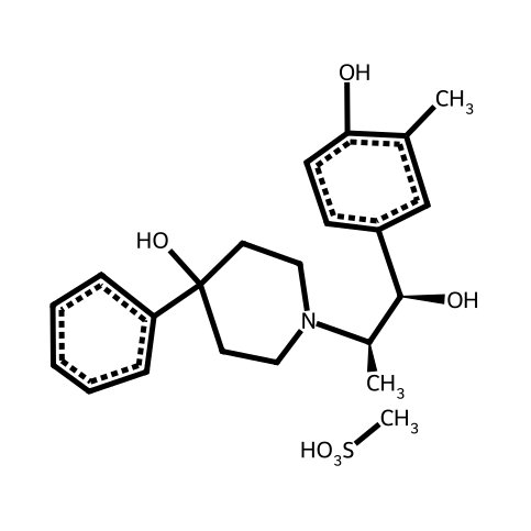 CS(=O)(=O)O.Cc1cc([C@@H](O)[C@@H](C)N2CCC(O)(c3ccccc3)CC2)ccc1O